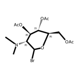 CC(=O)OC[C@H]1OC(Br)[C@H](N(C)C)[C@@H](OC(C)=O)[C@@H]1OC(C)=O